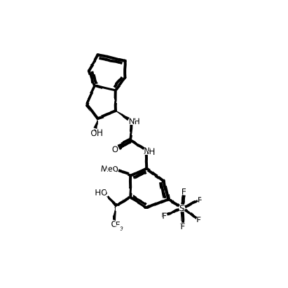 COc1c(NC(=O)N[C@@H]2c3ccccc3C[C@@H]2O)cc(S(F)(F)(F)(F)F)cc1[C@H](O)C(F)(F)F